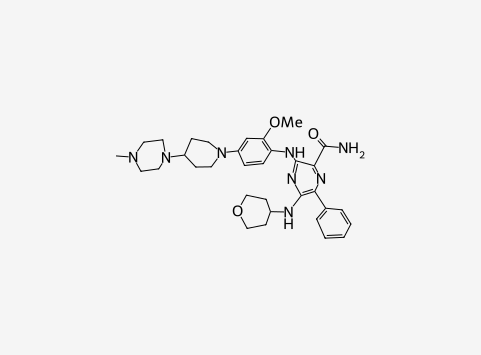 COc1cc(N2CCC(N3CCN(C)CC3)CC2)ccc1Nc1nc(NC2CCOCC2)c(-c2ccccc2)nc1C(N)=O